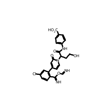 N=COC(=N)c1ccc(Cl)cc1-c1ccn(C(CCO)C(=O)Nc2ccc(C(=O)O)cc2)c(=O)c1